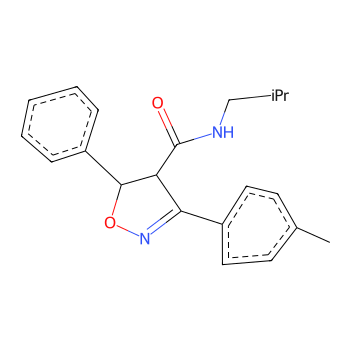 Cc1ccc(C2=NOC(c3ccccc3)C2C(=O)NCC(C)C)cc1